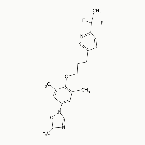 Cc1cc(N2C=NC(C(F)(F)F)O2)cc(C)c1OCCCc1ccc(C(C)(F)F)nn1